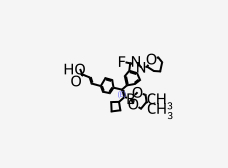 CC1(C)COB(/C(=C(/c2ccc(C=CC(=O)O)cc2)c2ccc3c(c2)c(F)nn3C2CCCCO2)C2CCC2)OC1